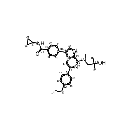 CC(C)(O)CNc1nc(-c2ccc(CF)cc2)cn2c(-c3ccc(C(=O)NC4CC4)cc3)cnc12